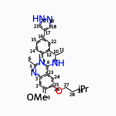 COc1cc2nc(C)nc(NC(C)c3cccc(-c4cn[nH]c4)c3)c2cc1OCCC(C)C